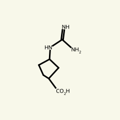 N=C(N)NC1CCC(C(=O)O)C1